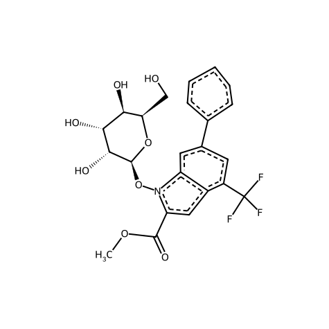 COC(=O)c1cc2c(C(F)(F)F)cc(-c3ccccc3)cc2n1O[C@@H]1O[C@H](CO)[C@H](O)[C@@H](O)[C@H]1O